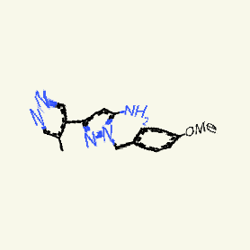 COc1ccc(Cn2nc(-c3cnncc3C)cc2N)cc1